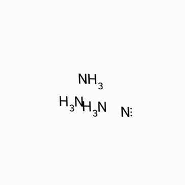 N.N.N.[N]